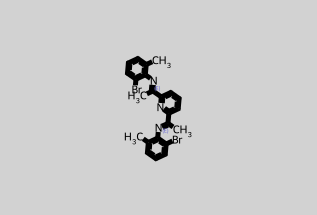 C/C(=N\c1c(C)cccc1Br)c1cccc(/C(C)=N/c2c(C)cccc2Br)n1